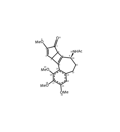 COC1=CC2C3=C(C2C1=O)[C@@H](NC(C)=O)CCc1cc(OC)c(OC)c(OC)c13